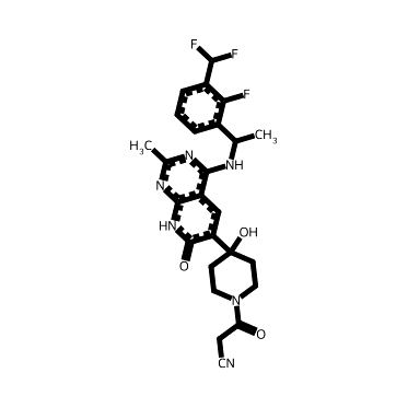 Cc1nc(NC(C)c2cccc(C(F)F)c2F)c2cc(C3(O)CCN(C(=O)CC#N)CC3)c(=O)[nH]c2n1